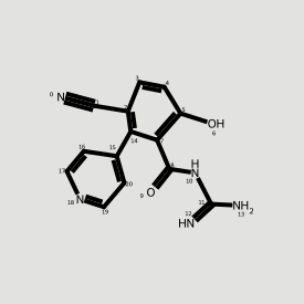 N#Cc1ccc(O)c(C(=O)NC(=N)N)c1-c1ccncc1